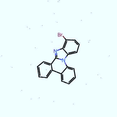 Brc1cccc2c1nc1c3ccccc3c3ccccc3n21